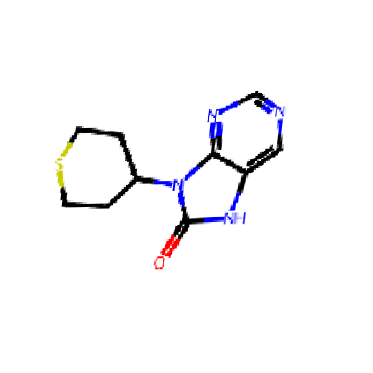 O=c1[nH]c2cncnc2n1C1CCSCC1